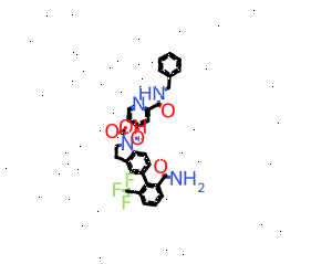 NC(=O)c1cccc(C(F)(F)F)c1-c1ccc2c(c1)CC[N+]2(Oc1ccnc(C(=O)NCc2ccccc2)c1)C(=O)O